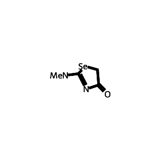 CNC1=NC(=O)C[Se]1